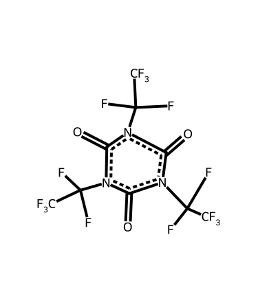 O=c1n(C(F)(F)C(F)(F)F)c(=O)n(C(F)(F)C(F)(F)F)c(=O)n1C(F)(F)C(F)(F)F